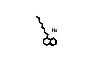 CCCCCCCCC1CCCc2ccccc21.[Na]